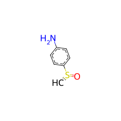 C#S(=O)c1ccc(N)cc1